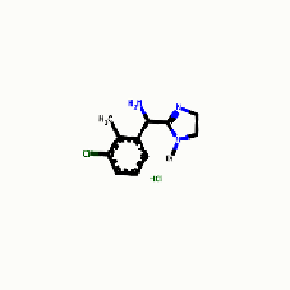 CCN1CCN=C1C(N)c1cccc(Cl)c1C.Cl